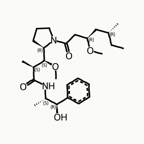 CC[C@@H](C)C[C@H](CC(=O)N1CCC[C@@H]1[C@@H](OC)[C@H](C)C(=O)N[C@@H](C)[C@H](O)c1ccccc1)OC